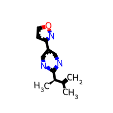 C=C(C)[C@@H](C)c1ncc(-c2ccon2)cn1